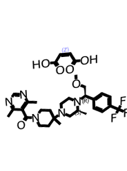 COC[C@@H](c1ccc(C(F)(F)F)cc1)N1CCN(C2(C)CCN(C(=O)c3c(C)ncnc3C)CC2)C[C@@H]1C.O=C(O)/C=C\C(=O)O